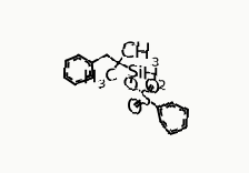 CC(C)(Cc1ccccc1)[SiH2]OS(=O)(=O)c1ccccc1